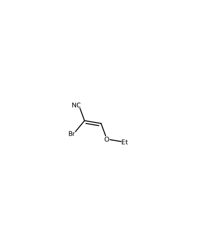 CCOC=C(Br)C#N